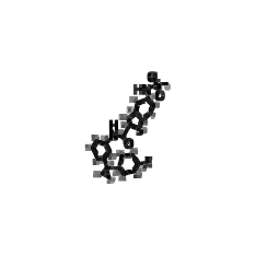 CS(=O)(=O)Nc1ccc2sc(C(=O)Nc3cccc(C4(c5ccc(F)cc5)CC4)c3)cc2c1